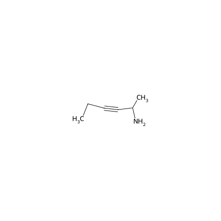 CCC#CC(C)N